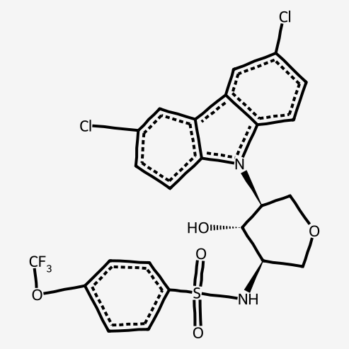 O=S(=O)(N[C@@H]1COC[C@H](n2c3ccc(Cl)cc3c3cc(Cl)ccc32)[C@H]1O)c1ccc(OC(F)(F)F)cc1